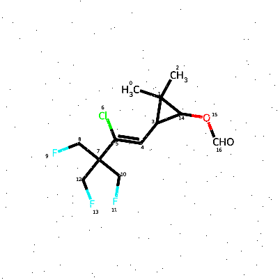 CC1(C)C(C=C(Cl)C(CF)(CF)CF)C1OC=O